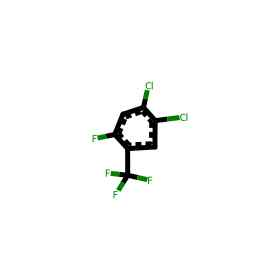 Fc1cc(Cl)c(Cl)cc1C(F)(F)F